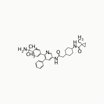 CC1(C(=O)NC2CCC(CC(=O)Nc3cnc(-c4ccc(C(C)(C)N)cc4)c(-c4ccccc4)c3)CC2)CC1